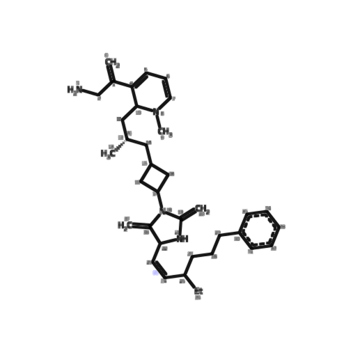 C=C(CN)C1=CC=CN(C)C1C[C@@H](C)CC1CC(N2C(=C)NC(/C=C\C(CC)CCCc3ccccc3)C2=C)C1